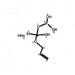 C=CCOC(O)(CC)OP(O)O.[NaH]